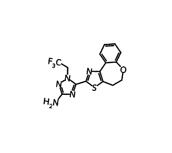 Nc1nc(-c2nc3c(s2)CCOc2ccccc2-3)n(CC(F)(F)F)n1